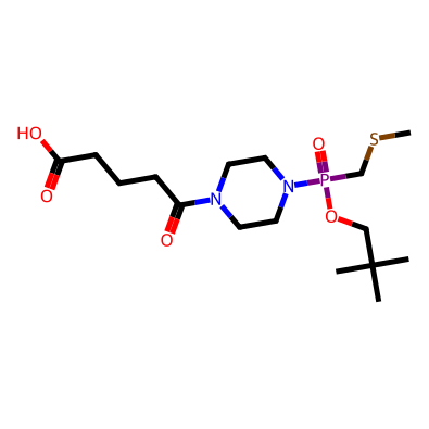 CSCP(=O)(OCC(C)(C)C)N1CCN(C(=O)CCCC(=O)O)CC1